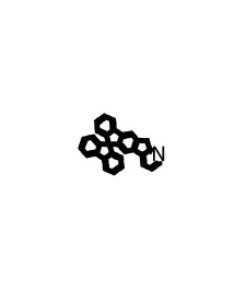 c1ccc2c(c1)-c1ccccc1C21c2ccccc2-c2cc3c(cc21)-c1cccnc1C3